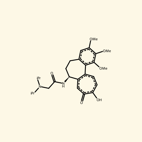 COc1cc2c(c(OC)c1OC)-c1ccc(O)c(=O)cc1[C@@H](NC(=O)CN(C(C)C)C(C)C)CC2